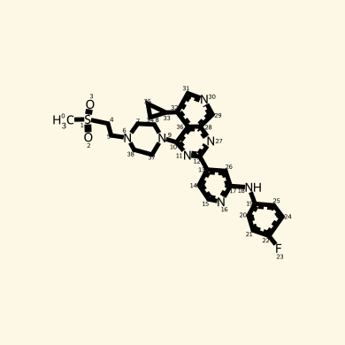 CS(=O)(=O)CCN1CCN(c2nc(-c3ccnc(Nc4ccc(F)cc4)c3)nc3cncc(C4CC4)c23)CC1